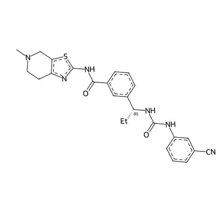 CC[C@@H](NC(=O)Nc1cccc(C#N)c1)c1cccc(C(=O)Nc2nc3c(s2)CN(C)CC3)c1